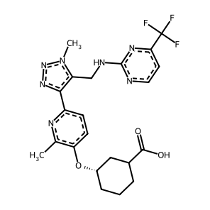 Cc1nc(-c2nnn(C)c2CNc2nccc(C(F)(F)F)n2)ccc1O[C@H]1CCCC(C(=O)O)C1